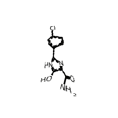 NC(=O)c1nc(-c2ccc(Cl)cc2)[nH]c1O